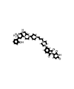 NC1=C(/C=C(\N)c2ccccc2O)N2CCN(C3CCN(CCCN4CCN(c5ccc6c(c5)C(=O)N(C5CCC(=O)NC5=O)C6=O)CC4)CC3)CC2CN1